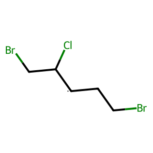 ClC([CH]CCBr)CBr